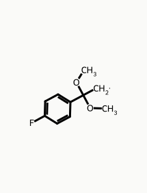 [CH2]C(OC)(OC)c1ccc(F)cc1